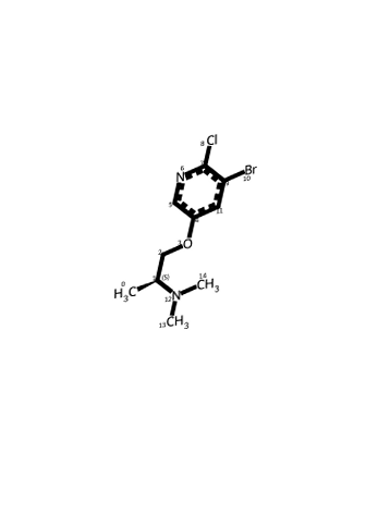 C[C@@H](COc1cnc(Cl)c(Br)c1)N(C)C